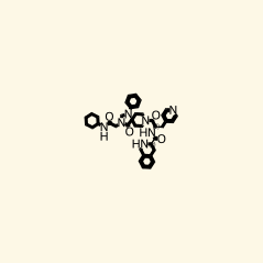 O=C(CN1CN(c2ccccc2)C2(CCN(C(=O)[C@@H](Cc3ccncc3)NC(=O)[C@H]3Cc4ccccc4CN3)CC2)C1=O)NC1CCCCC1